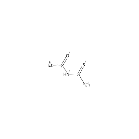 CCC(=O)NC(N)=S